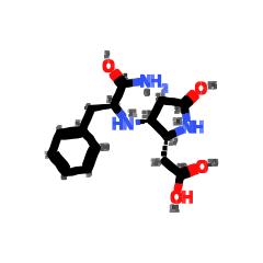 NC(=O)[C@H](Cc1ccccc1)N[C@@H]1CC(=O)N[C@@H]1CC(=O)O